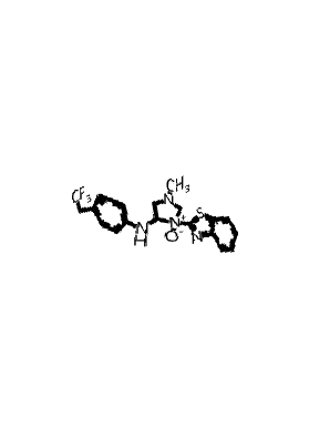 CN1CC(Nc2ccc(CC(F)(F)F)cc2)[N+]([O-])(c2nc3ccccc3s2)C1